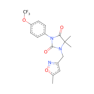 Cc1cc(CN2C(=O)N(c3ccc(OC(F)(F)F)cc3)C(=O)C2(C)C)no1